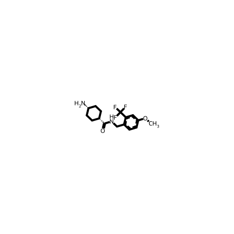 COc1ccc(CNC(=O)[C@H]2CC[C@@H](N)CC2)c(C(F)(F)F)c1